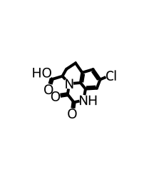 O=C(O)C1CCc2cc(Cl)cc3[nH]c(=O)c(=O)n1c23